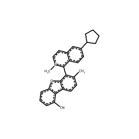 Cc1ccc2c(oc3cccc(C#N)c32)c1-c1c2ccc(C3CCCC3)cc2cc[n+]1C